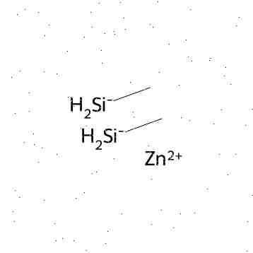 C[SiH2-].C[SiH2-].[Zn+2]